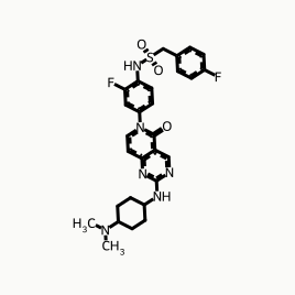 CN(C)C1CCC(Nc2ncc3c(=O)n(-c4ccc(NS(=O)(=O)Cc5ccc(F)cc5)c(F)c4)ccc3n2)CC1